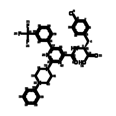 O=C(N[C@H](Cc1ccc(Cl)cc1)C(=O)O)c1cc(-c2cccc(C(F)(F)F)c2)nc(N2CCN(c3ccccc3)CC2)n1